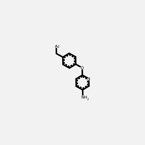 CC(=O)Cc1ccc(Oc2ccc(N)cn2)cc1